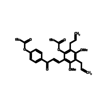 C=CCc1c(OC)c(C=CC(=O)c2ccc(OC(=O)C(C)(C)C)cc2)c(OC(=O)C(C)(C)C)c(CC=C)c1OC